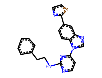 c1ccc(CCNc2nccc(-n3cnc4cc(-c5nccs5)ccc43)n2)cc1